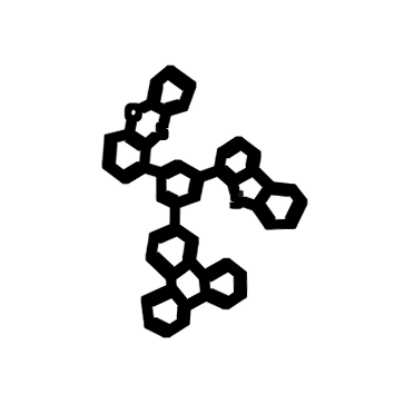 c1ccc2c(c1)Oc1cccc(-c3cc(-c4ccc5c6ccccc6c6ccccc6c5c4)cc(-c4cccc5c4sc4ccccc45)c3)c1S2